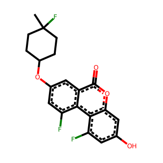 CC1(F)CCC(Oc2cc(F)c3c(c2)c(=O)oc2cc(O)cc(F)c23)CC1